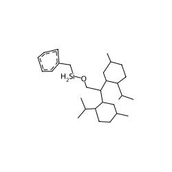 CC1CCC(C(C)C)C(C(CO[SiH2]Cc2ccccc2)C2CC(C)CCC2C(C)C)C1